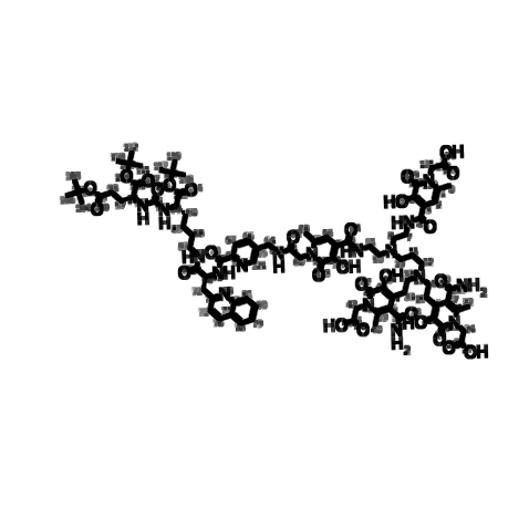 Cc1cc(C(=O)NCCN(CCCN(CCc2c(C(N)=O)c(C)n(CC(=O)O)c(=O)c2O)CCc2c(C(N)=O)c(C)n(CC(=O)O)c(=O)c2O)CCNC(=O)c2cc(C)n(CC(=O)NCc3ccc(C(=O)N[C@@H](Cc4ccc5ccccc5n4)C(=O)NCCCC[C@H](NC(=O)N[C@@H](CCC(=O)OC(C)(C)C)C(=O)OC(C)(C)C)C(=O)OC(C)(C)C)nc3)c(=O)c2O)c(O)c(=O)n1CC(=O)O